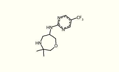 CC1(C)COCC(Nc2ncc(C(F)(F)F)cn2)CN1